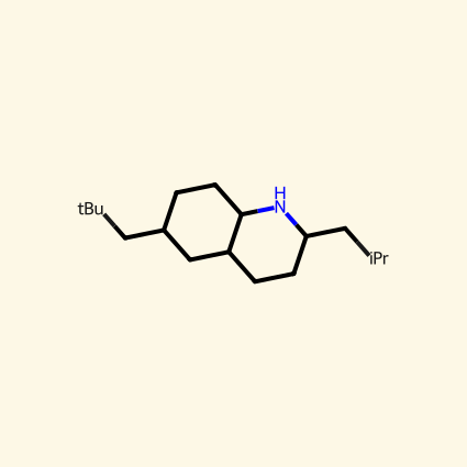 CC(C)CC1CCC2CC(CC(C)(C)C)CCC2N1